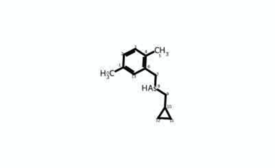 Cc1ccc(C)c(C[AsH]CC2CC2)c1